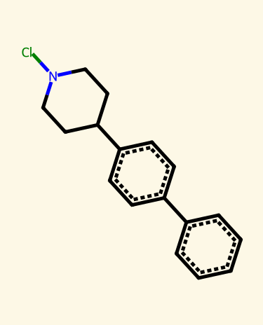 ClN1CCC(c2ccc(-c3ccccc3)cc2)CC1